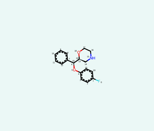 Fc1ccc(O[C@@H](c2ccccc2)[C@@H]2CNCCO2)cc1